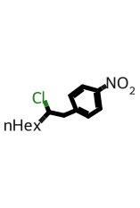 CCCCCCC(Cl)Cc1ccc([N+](=O)[O-])cc1